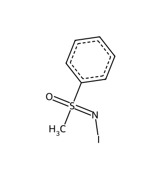 CS(=O)(=NI)c1ccccc1